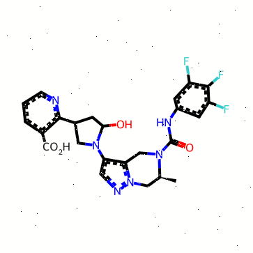 C[C@H]1Cn2ncc(N3CC(c4ncccc4C(=O)O)CC3O)c2CN1C(=O)Nc1cc(F)c(F)c(F)c1